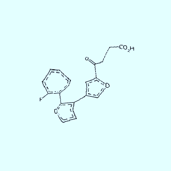 O=C(O)CCC(=O)c1cc(-c2ccoc2-c2ccccc2F)co1